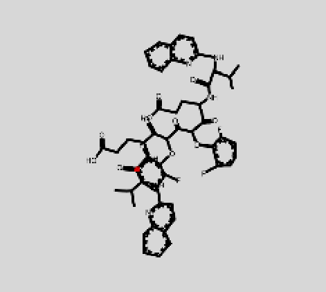 CC(C)C(Nc1ccc2ccccc2n1)C(=O)NC(CCC(=O)O)C(=O)C(Oc1c(F)cccc1F)C(=O)C(Oc1c(F)cccc1F)C(=O)C(CCC(=O)O)NC(=O)C(Nc1ccc2ccccc2n1)C(C)C